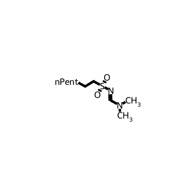 CCCCCCCS(=O)(=O)/N=C/N(C)C